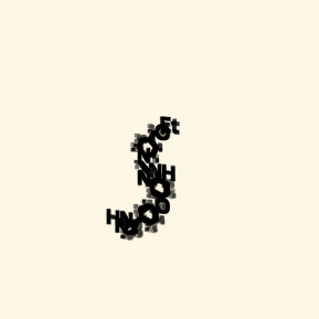 CCOCC1CCN(Cc2nc3cc(Oc4ccc(-c5ccn[nH]5)cc4)ccc3[nH]2)CC1